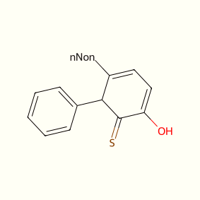 CCCCCCCCCC1=CC=C(O)C(=S)C1c1ccccc1